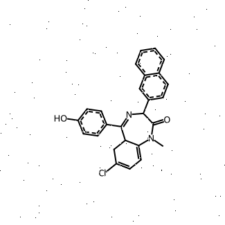 CN1C(=O)C(c2ccc3ccccc3c2)N=C(c2ccc(O)cc2)C2CC(Cl)=CC=C21